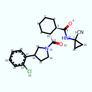 N#CC1(NC(=O)[C@@H]2CCCC[C@H]2C(=O)N2CCC(c3ccccc3Cl)C2)CC1